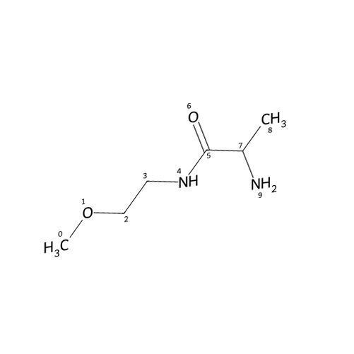 COCCNC(=O)C(C)N